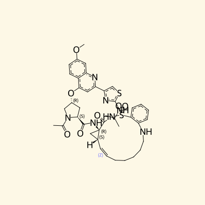 COc1ccc2c(O[C@@H]3C[C@@H](C(=O)N[C@]45C[C@H]4/C=C\CCCCCNc4ccccc4S(=O)(=O)NC5=O)N(C(C)=O)C3)cc(-c3csc(NC(C)C)n3)nc2c1